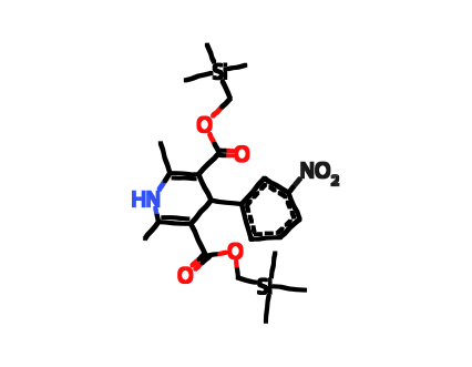 CC1=C(C(=O)OC[Si](C)(C)C)C(c2cccc([N+](=O)[O-])c2)C(C(=O)OC[Si](C)(C)C)=C(C)N1